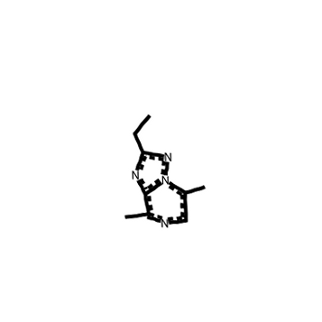 CCc1nc2c(C)ncc(C)n2n1